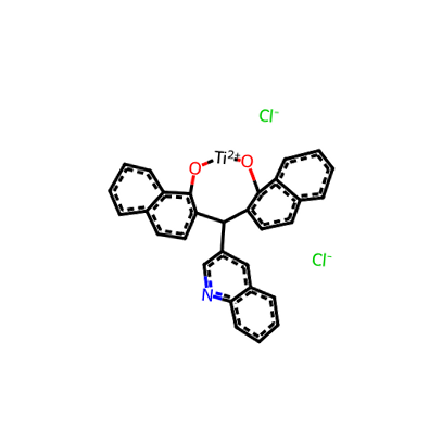 [Cl-].[Cl-].c1ccc2ncc(C3c4ccc5ccccc5c4[O][Ti+2][O]c4c3ccc3ccccc43)cc2c1